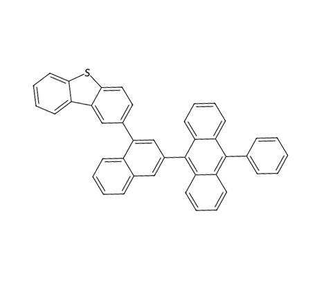 c1ccc(-c2c3ccccc3c(-c3cc(-c4ccc5sc6ccccc6c5c4)c4ccccc4c3)c3ccccc23)cc1